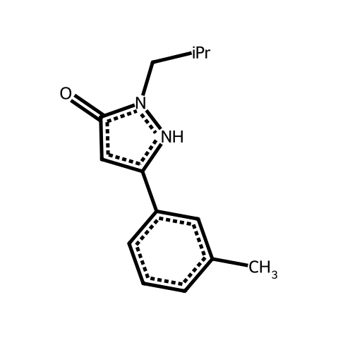 Cc1cccc(-c2cc(=O)n(CC(C)C)[nH]2)c1